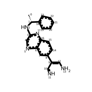 C[C@@H](Nc1cnc2cc(/C(C=N)=C/N)ccc2n1)c1ccccc1